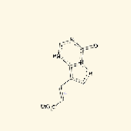 CCOC(=O)/C=C/c1cnn2c(=O)nc[nH]c12